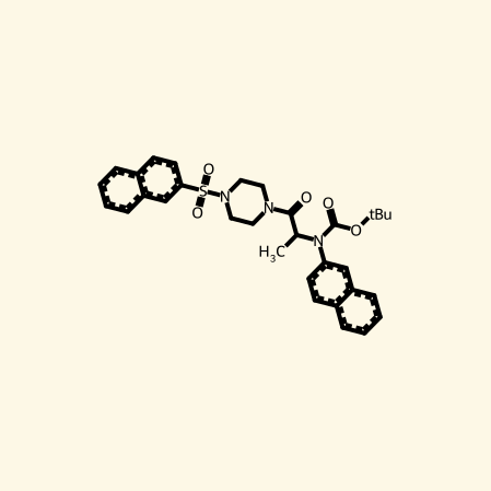 CC(C(=O)N1CCN(S(=O)(=O)c2ccc3ccccc3c2)CC1)N(C(=O)OC(C)(C)C)c1ccc2ccccc2c1